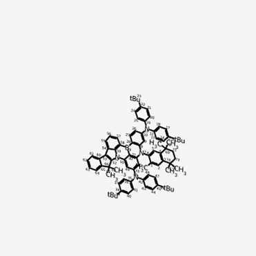 Cc1cc2c(cc1N1c3cc(N(c4ccc(C(C)(C)C)cc4)c4ccc(C(C)(C)C)cc4)ccc3B3c4c1cc(N(c1ccc(C(C)(C)C)cc1)c1ccc(C(C)(C)C)cc1)cc4-n1c4c(c5cccc3c51)-c1ccccc1C4(C)C)C(C)(C)CCC2(C)C